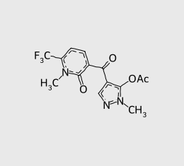 CC(=O)Oc1c(C(=O)c2ccc(C(F)(F)F)n(C)c2=O)cnn1C